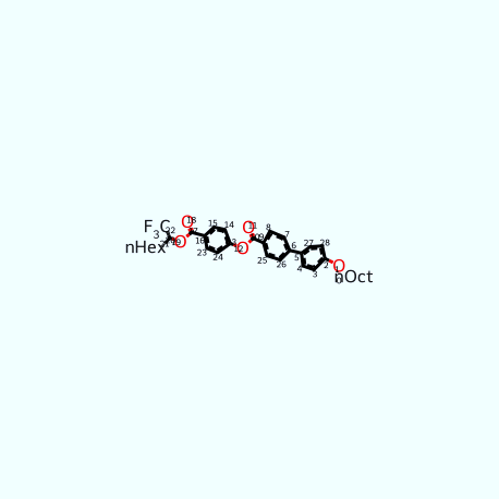 CCCCCCCCOc1ccc(-c2ccc(C(=O)Oc3ccc(C(=O)OC(CCCCCC)C(F)(F)F)cc3)cc2)cc1